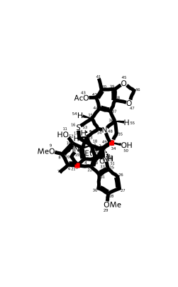 CCN1[C@@H]2Cc3cc(C)c(OC)c(O)c3[C@@H]1[C@H]1[C@@H]3SC[C@]4(NCCc5c4[nH]c4ccc(OC)cc54)C(=O)OC[C@@H](c4c5c(c(C)c(OC(C)=O)c43)OCO5)N1[C@H]2O